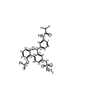 CC(C)C(=O)Nc1cccc(C2Oc3cccc(OC(F)F)c3-c3ccc(CS(N)(=O)=O)cc32)c1